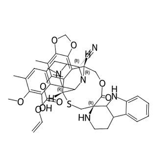 C=COC(=O)Oc1c(C)c2c(c3c1[C@H]1SC[C@]4(NCCC5c6ccccc6NC54)C(=O)OC[C@@H]3N3C1C1c4c(cc(C)c(OC)c4O)CC([C@@H]3C#N)N1C)OCO2